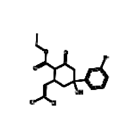 CCOC(=O)C1C(=O)CC(O)(c2cccc(Br)c2)CC1C=C(Cl)Cl